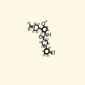 COc1ccc(NC(=O)N2CCN(c3cccc(Cl)c3)CC2)cc1C1CCN(C(C)C)CC1